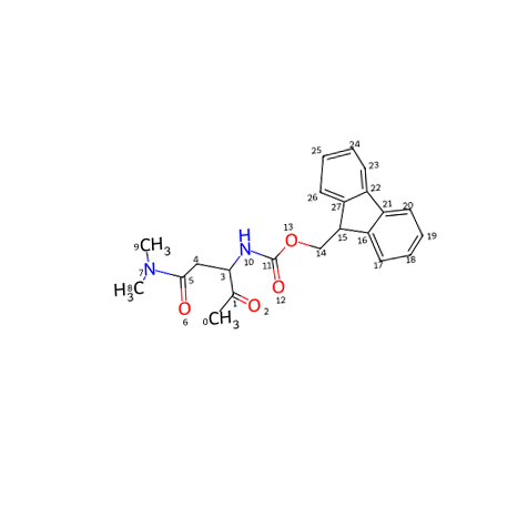 CC(=O)C(CC(=O)N(C)C)NC(=O)OCC1c2ccccc2-c2ccccc21